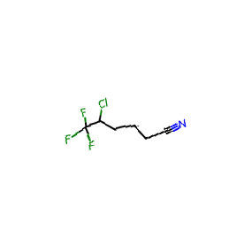 N#CC[CH]CC(Cl)C(F)(F)F